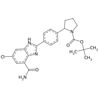 CC(C)(C)OC(=O)N1CCCC1c1ccc(-c2nc3c(C(N)=O)cc(Cl)cc3[nH]2)cc1